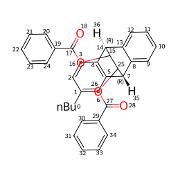 CCCCc1ccc2c(c1)[C@H]1c3ccccc3[C@H]2C(OC(=O)c2ccccc2)C1OC(=O)c1ccccc1